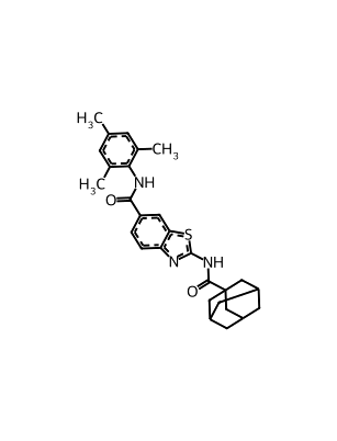 Cc1cc(C)c(NC(=O)c2ccc3nc(NC(=O)C45CC6CC(CC(C6)C4)C5)sc3c2)c(C)c1